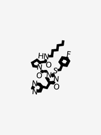 CCCCCCNC(=O)C1CCCN1C(=O)Cn1cc(Cc2cncnc2)c(=O)nc1SCc1ccc(F)cc1